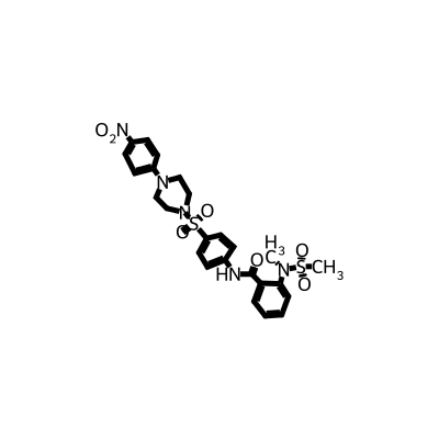 CN(c1ccccc1C(=O)Nc1ccc(S(=O)(=O)N2CCN(c3ccc([N+](=O)[O-])cc3)CC2)cc1)S(C)(=O)=O